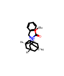 CC(C)(C)OC(=O)N[C@]12C[C@@H]3C[C@H](C1)C(NCc1ccccc1)[C@@H](C3)C2